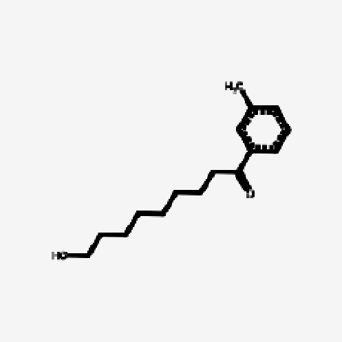 Cc1cccc(C(=O)CCCCCCCCO)c1